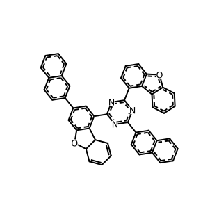 C1=CC2Oc3cc(-c4ccc5ccccc5c4)cc(-c4nc(-c5ccc6ccccc6c5)nc(-c5cccc6oc7ccccc7c56)n4)c3C2C=C1